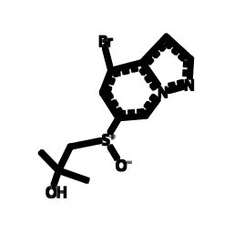 CC(C)(O)C[S+]([O-])c1cc(Br)c2ccnn2c1